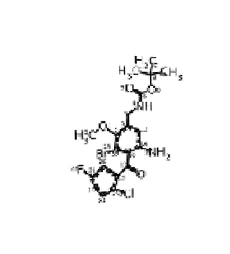 COc1c(CNC(=O)OC(C)(C)C)cc(N)c(C(=O)c2cc(F)ccc2Cl)c1Br